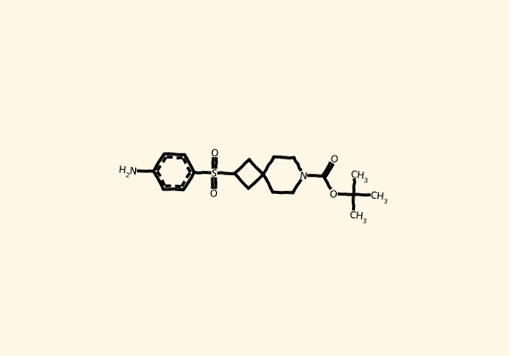 CC(C)(C)OC(=O)N1CCC2(CC1)CC(S(=O)(=O)c1ccc(N)cc1)C2